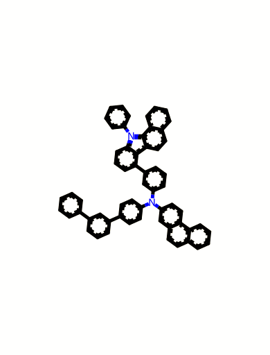 c1ccc(-c2cccc(-c3ccc(N(c4cccc(-c5cccc6c5c5ccc7ccccc7c5n6-c5ccccc5)c4)c4ccc5c(ccc6ccccc65)c4)cc3)c2)cc1